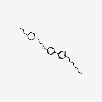 CCCCCCCc1cnc(-c2ccc(OCCC[C@H]3CC[C@H](CCC)CC3)cc2)cn1